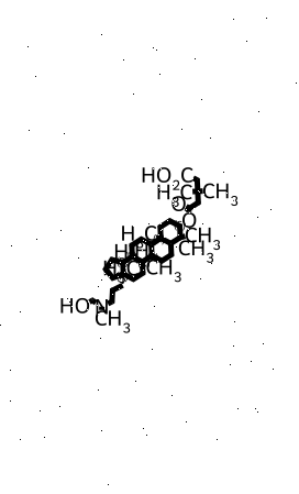 CN(CO)CCC[C@]12CCC[C@@H]1[C@H]1CCC3[C@@]4(C)CC[C@H](OC(=O)CC(C)(C)CC(=O)O)C(C)(C)C4CC[C@@]3(C)[C@]1(C)CC2